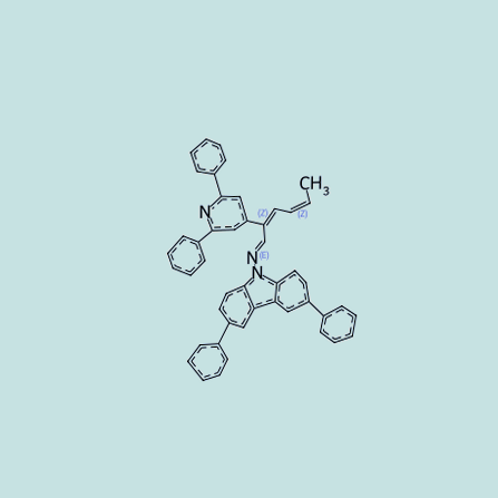 C\C=C/C=C(\C=N\n1c2ccc(-c3ccccc3)cc2c2cc(-c3ccccc3)ccc21)c1cc(-c2ccccc2)nc(-c2ccccc2)c1